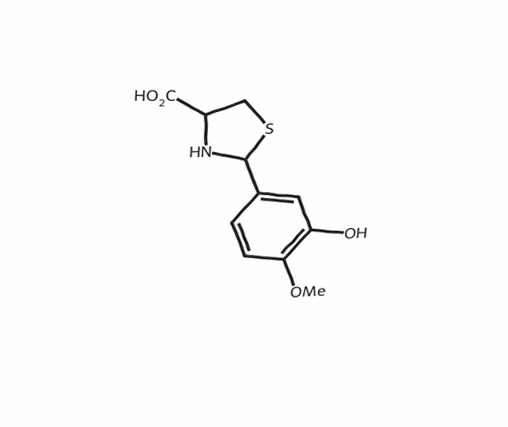 COc1ccc(C2NC(C(=O)O)CS2)cc1O